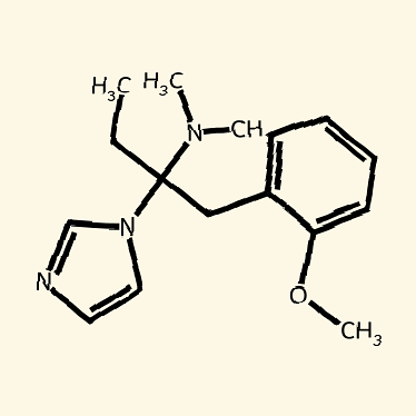 CCC(Cc1ccccc1OC)(N(C)C)n1ccnc1